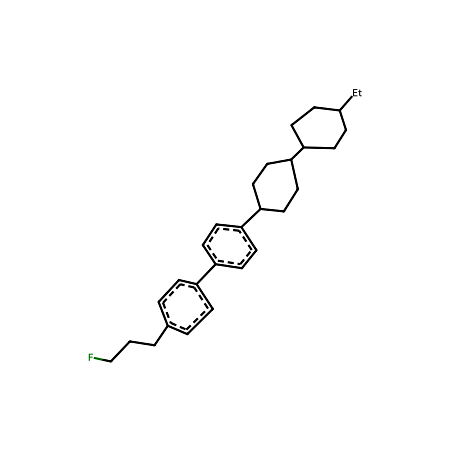 CCC1CCC(C2CCC(c3ccc(-c4ccc(CCCF)cc4)cc3)CC2)CC1